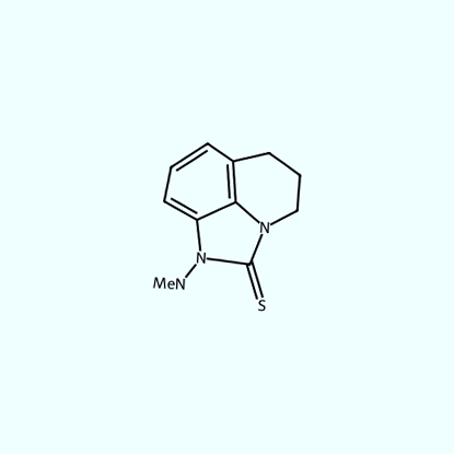 CNn1c(=S)n2c3c(cccc31)CCC2